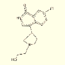 O=c1[nH]cc(C2CCN(CCO)C2)c2ccc(Cl)cc12